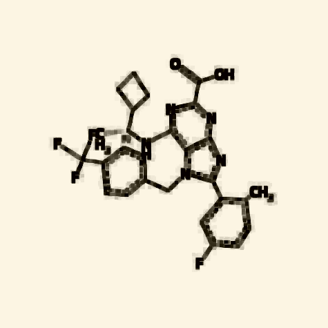 Cc1ccc(F)cc1-c1nc2nc(C(=O)O)nc(N[C@H](C)C3CCC3)c2n1Cc1ccc(C(F)(F)F)cc1